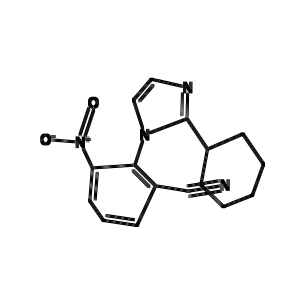 N#Cc1cccc([N+](=O)[O-])c1-n1ccnc1C1CCCCC1